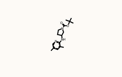 Cc1cnc(NC2CCN(C(=O)OC(C)(C)C)C2)c(C)c1